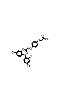 O=C(O)COc1ccc(OCC(=O)Oc2cc(Cl)ccc2Oc2ccc(Cl)cc2Cl)cc1